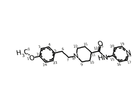 COc1ccc(CCN2CCC(C(=O)Nc3ccncc3)CC2)cc1